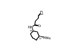 CN[C@H]1CCC[C@@H](NC(=O)CCCCl)C1